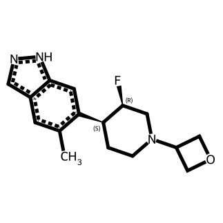 Cc1cc2cn[nH]c2cc1[C@@H]1CCN(C2COC2)C[C@@H]1F